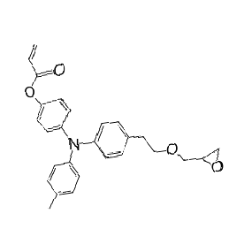 C=CC(=O)Oc1ccc(N(c2ccc(C)cc2)c2ccc(CCOCC3CO3)cc2)cc1